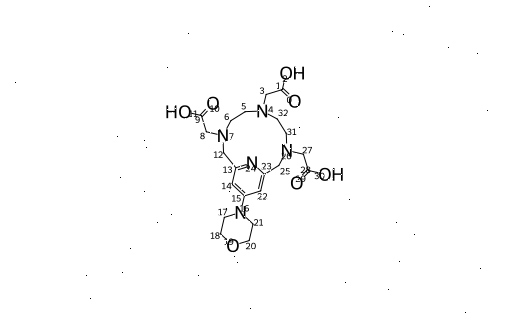 O=C(O)CN1CCN(CC(=O)O)Cc2cc(N3CCOCC3)cc(n2)CN(CC(=O)O)CC1